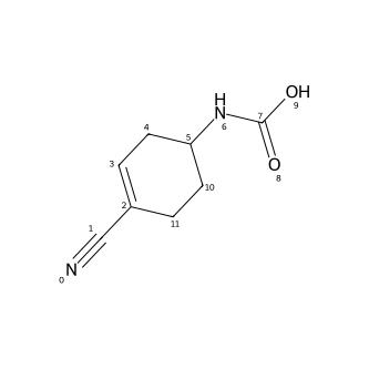 N#CC1=CCC(NC(=O)O)CC1